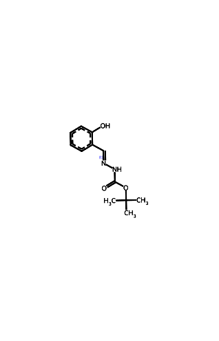 CC(C)(C)OC(=O)N/N=C/c1ccccc1O